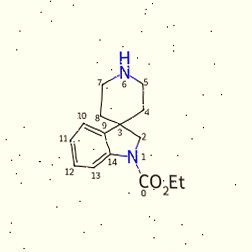 CCOC(=O)N1CC2(CCNCC2)c2ccccc21